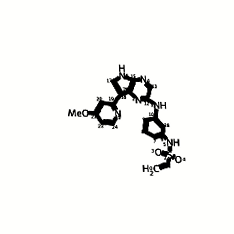 C=CS(=O)(=O)Nc1cccc(Nc2cnc3[nH]cc(-c4cc(OC)ccn4)c3n2)c1